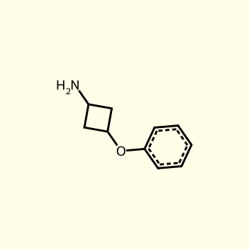 NC1CC(Oc2ccccc2)C1